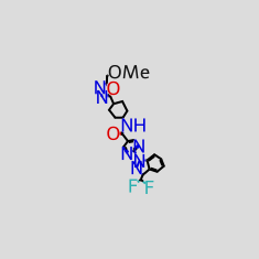 COCc1nnc(C2CCC(NC(=O)c3cnc(-n4nc(C(F)F)c5ccccc54)nc3)CC2)o1